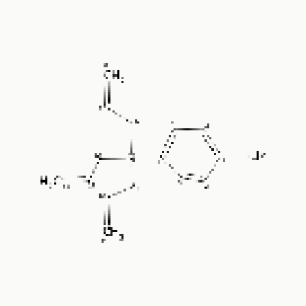 [Li][c]1ccc([Si](CC=C)(CC=C)CC=C)cc1